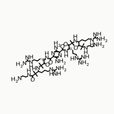 CC(C)(NCCN)C(=O)C(CCCNC(=N)N)NC(C)(C)C(=O)[C@H](CCCNC(=N)N)NC(=O)c1nc(N)c(C(=O)N[C@@H](CCCNC(=N)N)C(=O)C(C)(C)NC(CCCNC(=N)N)C(C)(C)C(=O)NCCN)nc1N